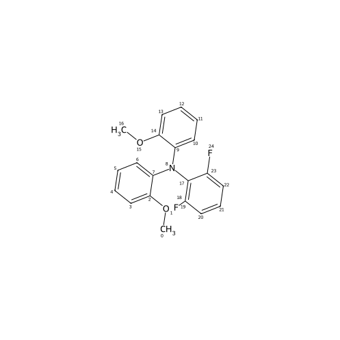 COc1ccccc1N(c1ccccc1OC)c1c(F)cccc1F